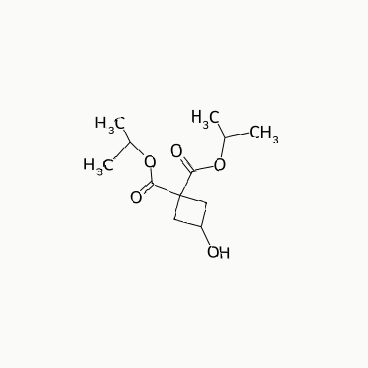 CC(C)OC(=O)C1(C(=O)OC(C)C)CC(O)C1